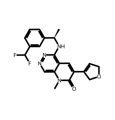 C[C@@H](Nc1nncc2c1cc(C1=CCOC1)c(=O)n2C)c1cccc(C(F)F)c1